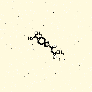 CC(S)N1CCC2(CC1)CN(C(=O)CN(C)C)C2